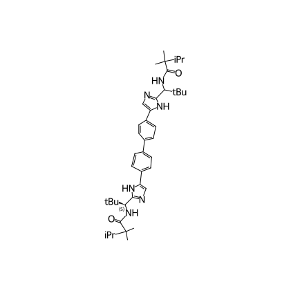 CC(C)C(C)(C)C(=O)NC(c1ncc(-c2ccc(-c3ccc(-c4cnc([C@@H](NC(=O)C(C)(C)C(C)C)C(C)(C)C)[nH]4)cc3)cc2)[nH]1)C(C)(C)C